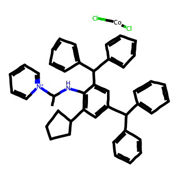 CC(Nc1c(C2CCCC2)cc(C(c2ccccc2)c2ccccc2)cc1C(c1ccccc1)c1ccccc1)[n+]1ccccc1.[Cl][Co][Cl]